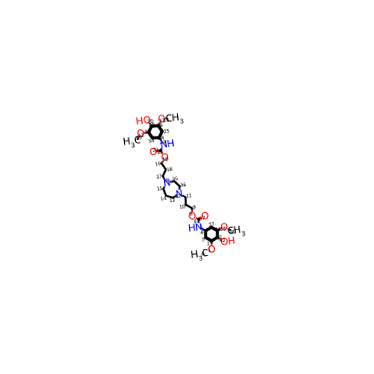 COc1cc(NC(=O)OCCCN2CCCN(CCCOC(=O)Nc3cc(OC)c(O)c(OC)c3)CC2)cc(OC)c1O